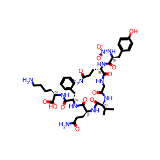 CC(C)[C@H](NC(=O)CNC(=O)[C@H](CCC(N)=O)NC(=O)[C@H](Cc1ccc(O)cc1)N[N+](=O)[O-])C(=O)N[C@@H](CCC(N)=O)C(=O)N[C@@H](Cc1ccccc1)C(=O)N[C@@H](CCCCN)C(=O)O